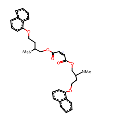 CNC(CCOc1cccc2ccccc12)COC(=O)/C=C\C(=O)OCC(CCOc1cccc2ccccc12)NC